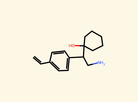 C=Cc1ccc(C(CN)C2(O)CCCCC2)cc1